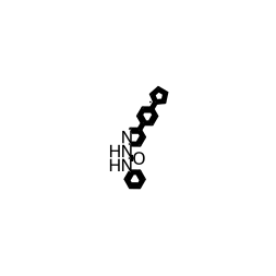 O=C(Nc1ccccc1)Nc1ccc(-c2ccc([C]3CCCC3)cc2)cn1